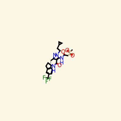 CS(=O)(=O)CC(=O)Nc1c2c(nn1CCC1CC1)C[C@]1(CCc3cc(C(F)(F)F)ccc31)NC2=O